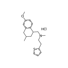 COc1ccc2c(c1)CC(C)CC2CN(C)CCc1cccs1.Cl